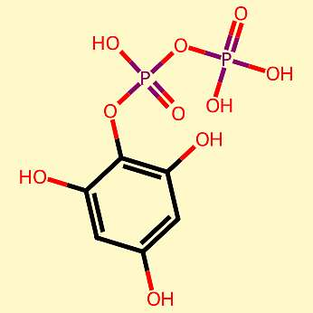 O=P(O)(O)OP(=O)(O)Oc1c(O)cc(O)cc1O